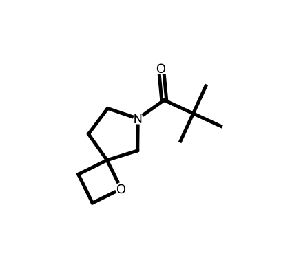 CC(C)(C)C(=O)N1CCC2(CCO2)C1